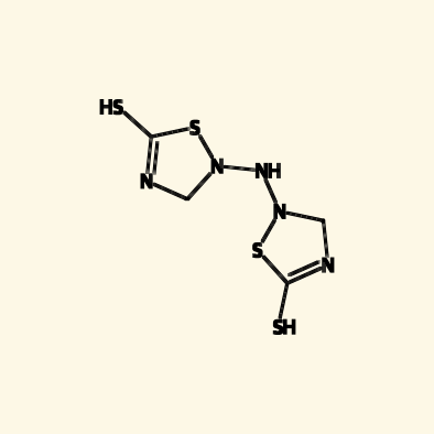 SC1=NCN(NN2CN=C(S)S2)S1